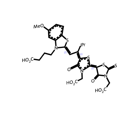 COc1ccc2c(c1)N(CCCC(=O)O)/C(=C/C(=c1/s/c(=C3\SC(=S)N(CC(=O)O)C3=O)n(CC(=O)O)c1=O)C(C)C)S2